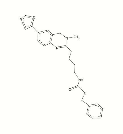 CN1Cc2cc(-c3cnco3)ccc2N=C1CCCCNC(=O)OCc1ccccc1